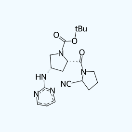 CC(C)(C)OC(=O)N1C[C@@H](Nc2ncccn2)C[C@H]1C(=O)N1CCCC1C#N